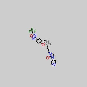 CC(CCCCN1CCN(c2ccncc2)C1=O)Oc1ccc(-c2noc(C(F)(F)F)n2)cc1